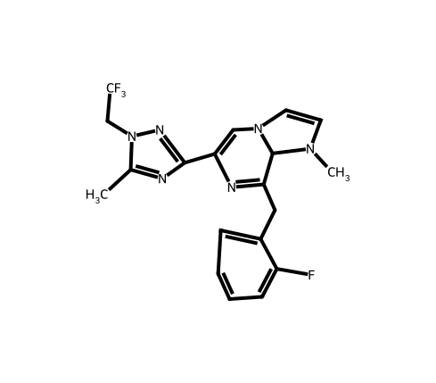 Cc1nc(C2=CN3C=CN(C)C3C(Cc3ccccc3F)=N2)nn1CC(F)(F)F